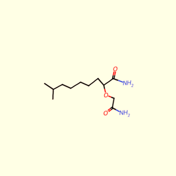 CC(C)CCCCCC(OCC(N)=O)C(N)=O